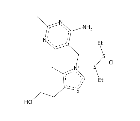 CCSSCC.Cc1ncc(C[n+]2csc(CCO)c2C)c(N)n1.[Cl-]